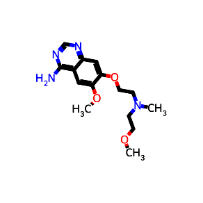 COCCN(C)CCOc1cc2ncnc(N)c2cc1OC